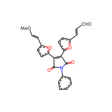 CO/C=C/c1ccc(C2=C(c3ccc(/C=C/C=O)o3)C(=O)N(c3ccccc3)C2=O)o1